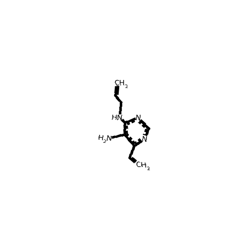 C=CCNc1ncnc(C=C)c1N